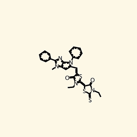 CCN1C(=O)/C(=c2\s/c(=C/c3cc4c(nc(-c5ccccc5)n4C)n3-c3ccccc3)c(=O)n2CC)SC1=S